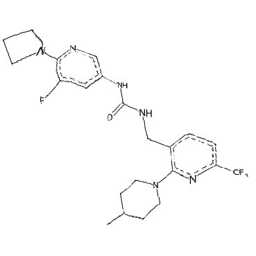 CC1CCN(c2nc(C(F)(F)F)ccc2CNC(=O)Nc2cnc(N3CCC3)c(F)c2)CC1